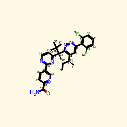 CC[C@H](C)c1cc(-c2c(F)cccc2F)nnc1[C@](C)(c1ccnc(-c2ccc(C(N)=O)nc2)n1)C(C)(C)C